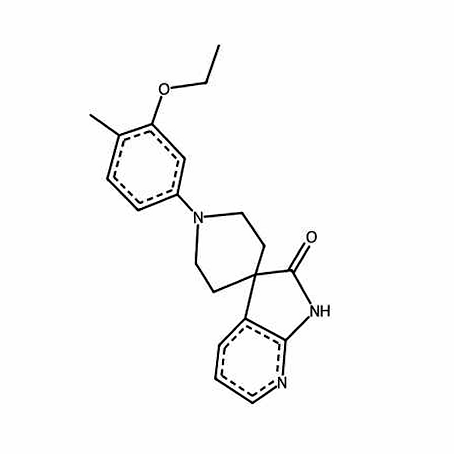 CCOc1cc(N2CCC3(CC2)C(=O)Nc2ncccc23)ccc1C